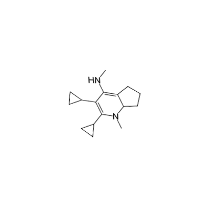 CNC1=C2CCCC2N(C)C(C2CC2)=C1C1CC1